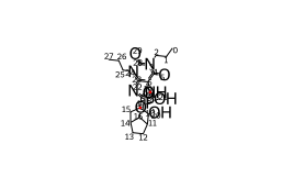 CCCn1c(=O)c2[nH]c(C3CC4CCC(C3)C4OP(=O)(O)O)nc2n(CCC)c1=O